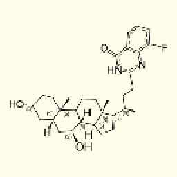 C[C@H](CCc1nc2c(F)cccc2c(=O)[nH]1)[C@H]1CC[C@H]2[C@H]3C(CC[C@]12C)[C@@]1(C)CC[C@@H](O)C[C@H]1C[C@@H]3O